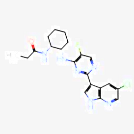 CCC(=O)N[C@H]1CCCC[C@@H]1Nc1nc(-c2c[nH]c3ncc(Cl)cc23)ncc1F